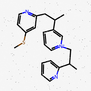 CSc1ccnc(CC(C)c2ccc[n+](CC(C)c3ccccn3)c2)c1